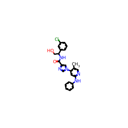 Cc1cnc(Nc2ccccc2)cc1-n1cnc(C(=O)NC(CO)c2cccc(Cl)c2)c1